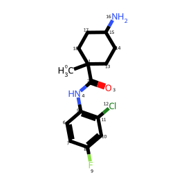 CC1(C(=O)Nc2ccc(F)cc2Cl)CCC(N)CC1